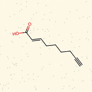 C#CCCCCC=CC(=O)O